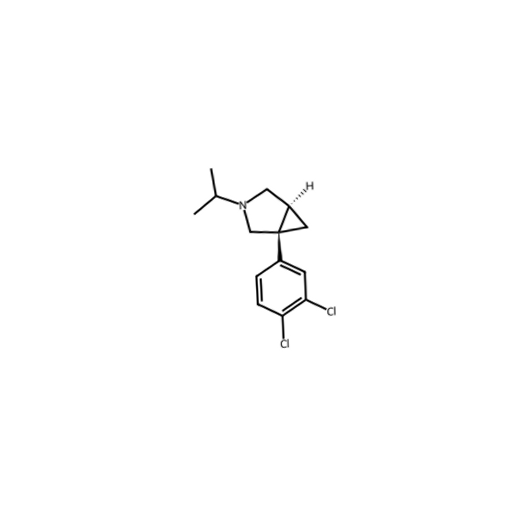 CC(C)N1C[C@H]2C[C@]2(c2ccc(Cl)c(Cl)c2)C1